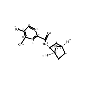 O=C(N[C@@H]1C[C@H]2CC[C@@H]1N2)c1ncc(O)c(Cl)n1